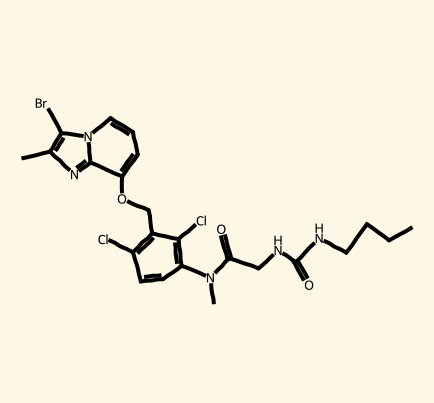 CCCCNC(=O)NCC(=O)N(C)c1ccc(Cl)c(COc2cccn3c(Br)c(C)nc23)c1Cl